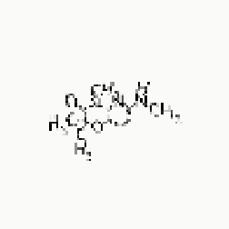 CNc1ccc2c(n1)N(C)C(=O)C(C)(C)O2